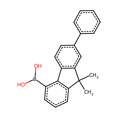 CC1(C)c2cc(-c3ccccc3)ccc2-c2c(B(O)O)cccc21